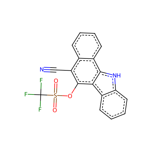 N#Cc1c(OS(=O)(=O)C(F)(F)F)c2c3ccccc3[nH]c2c2ccccc12